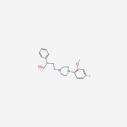 COc1cc(F)ccc1N1CCN(CCC(C=O)c2ccccc2)CC1